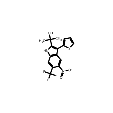 CC(C)(O)c1[nH]c2cc(C(F)(F)F)c([N+](=O)[O-])cc2c1-c1cccs1